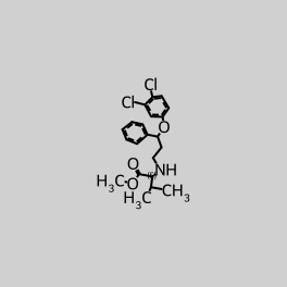 COC(=O)[C@@H](NCCC(Oc1ccc(Cl)c(Cl)c1)c1ccccc1)C(C)C